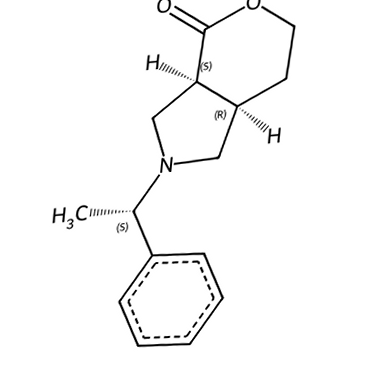 C[C@@H](c1ccccc1)N1C[C@@H]2CCOC(=O)[C@@H]2C1